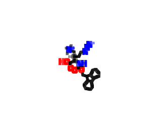 C[C@@](CCN=[N+]=[N-])(C[N+](C)(C)C)[C@H](NC(=O)OCC1c2ccccc2-c2ccccc21)C(=O)O